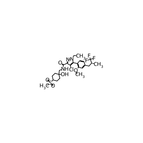 CCn1nc(C(=O)NCC2(O)CCC(S(C)(=O)=O)CC2)c(Cl)c1-c1ccc(C[C@H](C)C(F)(F)F)cc1OC